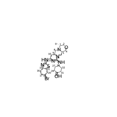 C[C@@H]1COC[C@@H](C)N1Cc1cc(Nc2nc3ccc(Br)cc3s2)nc(N[C@H]2CC[C@H](O)CC2)n1